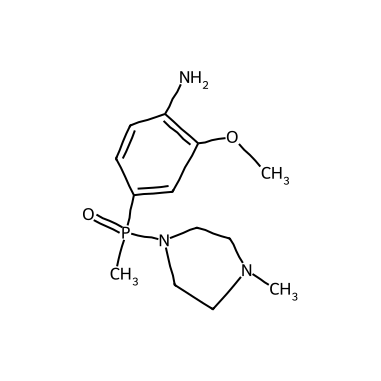 COc1cc(P(C)(=O)N2CCN(C)CC2)ccc1N